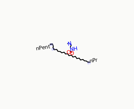 CCC/C=C\CCCCCCCCC(CCCCCCCC/C=C\C/C=C\CCCCC)OC(=O)NCCN(C)C